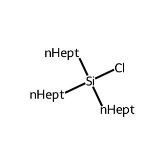 CCCCCCC[Si](Cl)(CCCCCCC)CCCCCCC